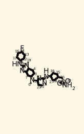 CN(c1ccc2c(c1)nc(Nc1ccc(F)cc1)n2C)c1ccnc(Nc2ccc(CS(N)(=O)=O)cc2)n1